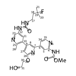 COC(=O)Nc1cc(-c2cc(-c3cc(NC(=O)NCCC(C)(C)F)cnc3C)cc(OCCO)n2)ccn1